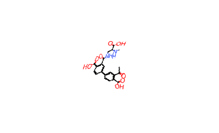 CNC(CNC(=O)c1cc(-c2ccc(C(=O)O)c(C(C)=O)c2)ccc1C(=O)O)C(=O)O